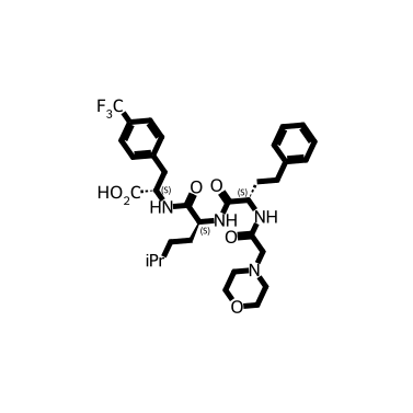 CC(C)CC[C@H](NC(=O)[C@H](CCc1ccccc1)NC(=O)CN1CCOCC1)C(=O)N[C@@H](Cc1ccc(C(F)(F)F)cc1)C(=O)O